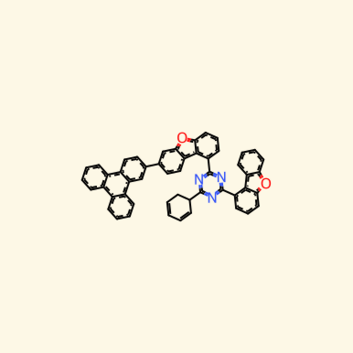 C1=CCC(c2nc(-c3cccc4oc5ccccc5c34)nc(-c3cccc4oc5cc(-c6ccc7c8ccccc8c8ccccc8c7c6)ccc5c34)n2)C=C1